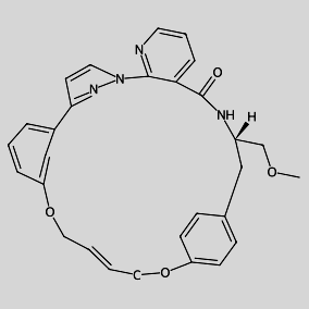 COC[C@@H]1Cc2ccc(cc2)OC/C=C/COc2cccc(c2)-c2ccn(n2)-c2ncccc2C(=O)N1